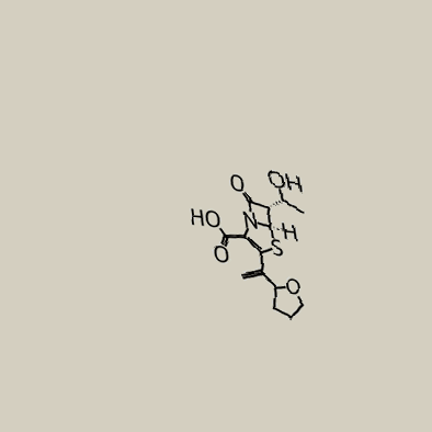 C=C(C1=C(C(=O)O)N2C(=O)[C@H](C(C)O)[C@H]2S1)C1CCCO1